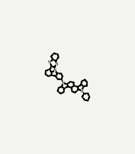 c1ccc(-n2c3ccccc3c3c4ccc5c(c4ccc32)c2ccccc2n5-c2ccc3c(c2)c2cccc4c5nc6ccccc6nc5n3c24)cc1